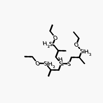 CCO[SiH2]C(C)CS[SiH](CC(C)[SiH2]OCC)CC(C)[SiH2]OCC